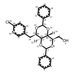 OC[C@H]1OC(c2ccccc2)O[C@@H]2[C@@H]1OC(c1ccccc1)O[C@@H]2Cc1ccc(Cl)nc1